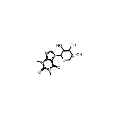 Cn1c(=O)c2c(ncn2C2OC[C@@H](O)C(O)=C2O)n(C)c1=O